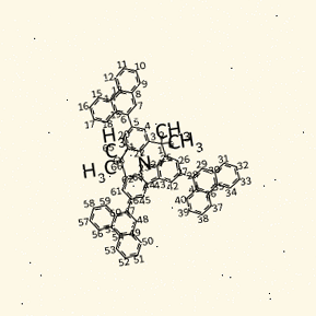 CC1(C)c2cc(-c3cc4ccccc4c4ccccc34)cc3c2-n2c4c1cc(-c1cc5ccccc5c5ccccc15)cc4c1cc(-c4cc5ccccc5c5ccccc45)cc(c12)C3(C)C